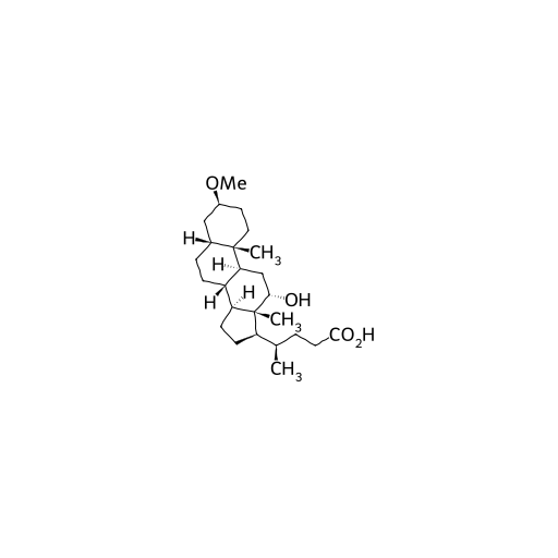 CO[C@H]1CC[C@@]2(C)[C@H](CC[C@@H]3[C@@H]2C[C@H](O)[C@]2(C)[C@@H]([C@H](C)CCC(=O)O)CC[C@@H]32)C1